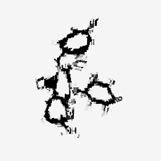 Nc1ccc2c(=O)n(Cc3ccc(Br)cc3)c(=O)n(C3C=CCCC3)c2n1